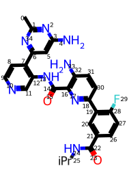 Cc1nc(N)cc(-c2ccncc2NC(=O)c2nc(-c3cc(C(=O)NC(C)C)ccc3F)ccc2N)n1